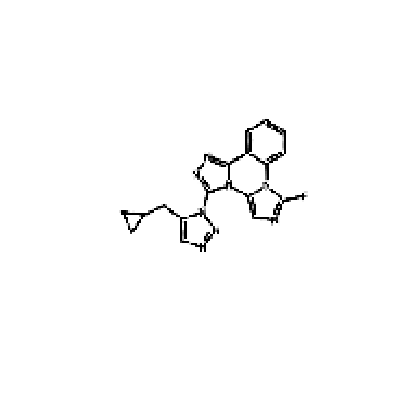 Fc1ncc2n1c1ccccc1c1nnc(-n3nncc3CC3CC3)n12